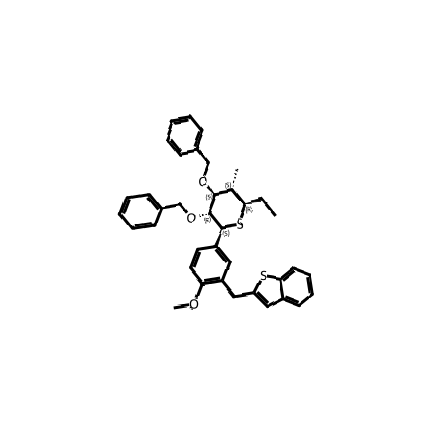 CC[C@H]1S[C@@H](c2ccc(OC)c(Cc3cc4ccccc4s3)c2)[C@H](OCc2ccccc2)[C@@H](OCc2ccccc2)[C@@H]1C